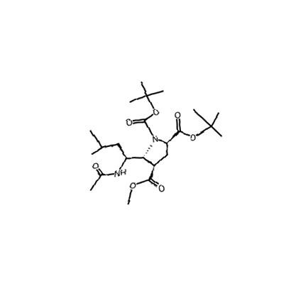 COC(=O)[C@@H]1C[C@H](C(=O)OC(C)(C)C)N(C(=O)OC(C)(C)C)[C@H]1[C@H](CC(C)C)NC(C)=O